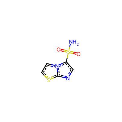 NS(=O)(=O)c1cnc2sccn12